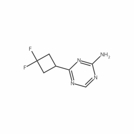 Nc1ncnc(C2CC(F)(F)C2)n1